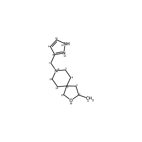 CC1CC2(CCN(Cc3cc[nH]n3)CC2)CO1